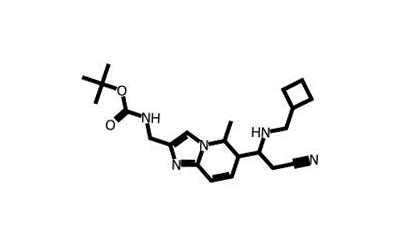 CC1C(C(CC#N)NCC2CCC2)C=Cc2nc(CNC(=O)OC(C)(C)C)cn21